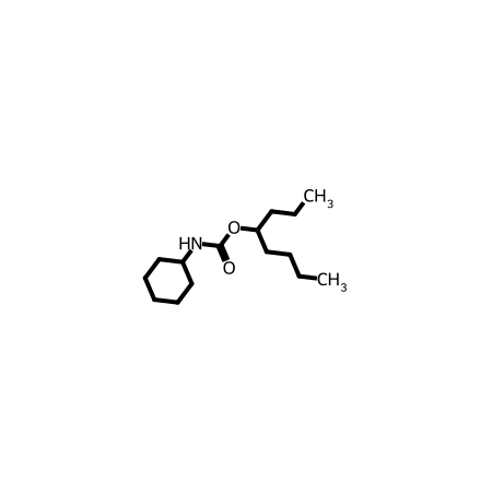 CCCCC(CCC)OC(=O)NC1CCCCC1